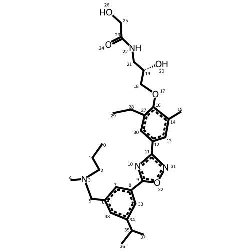 CCCN(C)Cc1cc(-c2nc(-c3cc(C)c(OC[C@@H](O)CNC(=O)CO)c(CC)c3)no2)cc(C(C)C)c1